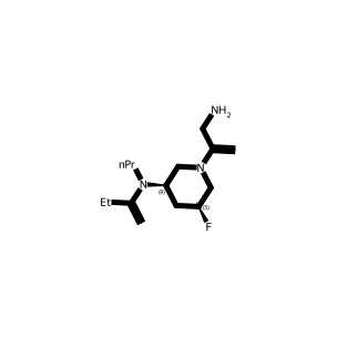 C=C(CN)N1C[C@@H](F)C[C@@H](N(CCC)C(=C)CC)C1